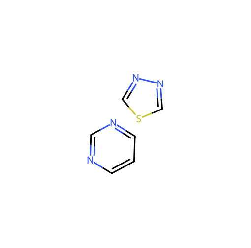 c1cncnc1.c1nncs1